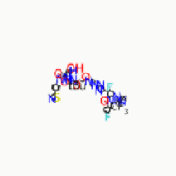 Cc1ncsc1-c1ccc(CNC(=O)[C@@H]2C[C@@H](O)CN2C(=O)C(NC(=O)CCC(=O)N2CCN(c3ncc(-c4cc(NC(=O)c5ccc(F)cc5C(F)(F)F)c(N5C[C@@H](C)N(C)[C@@H](C)C5)cc4F)cn3)CC2)C(C)(C)C)cc1